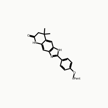 CCCCCOc1ccc(-c2nc3cc4c(cc3[nH]2)C(C)(C)CC(=O)N4)cc1